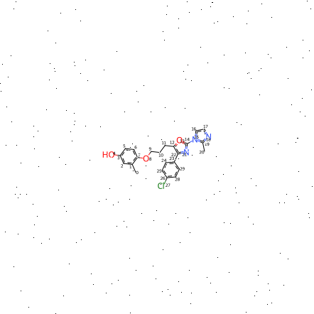 Cc1cc(O)ccc1OCCCc1oc(-n2ccnc2C)nc1-c1ccc(Cl)cc1